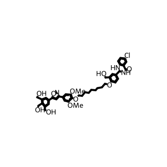 COc1cc(-c2cc(-c3cc(CO)c(CO)c(CO)c3)on2)cc(OC)c1OCCCCCCCCCOc1ccc(C2NC(=O)c3cc(Cl)ccc3N2)cc1CO